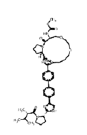 COC(=O)N[C@H]1COCCOCCCc2[nH]c(nc2-c2ccc(-c3ccc(-c4c[nH]c([C@@H]5CCCN5C(=O)[C@@H](C)C(C)C)n4)cc3)cc2)[C@@H]2CCCN2C1=O